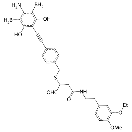 Bc1c(N)c(B)c(O)c(C#Cc2ccc(CSC(C=O)CC(=O)NCCc3ccc(OC)c(OCC)c3)cc2)c1O